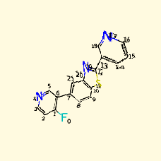 Fc1ccncc1-c1ccc2sc(-c3cccnc3)nc2c1